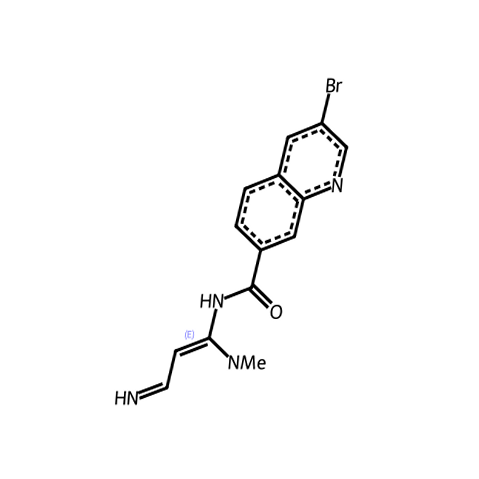 CN/C(=C\C=N)NC(=O)c1ccc2cc(Br)cnc2c1